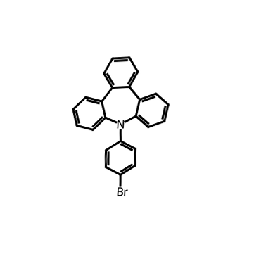 Brc1ccc(N2c3ccccc3-c3ccccc3-c3ccccc32)cc1